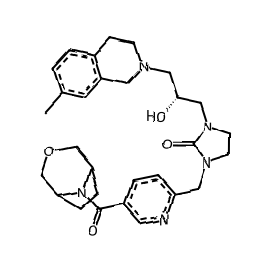 Cc1ccc2c(c1)CN(C[C@@H](O)CN1CCN(Cc3ccc(C(=O)N4C5CCC4COC5)cn3)C1=O)CC2